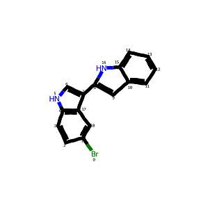 Brc1ccc2[nH]cc(-c3[c]c4ccccc4[nH]3)c2c1